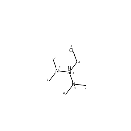 CN(C)[SiH](CCl)N(C)C